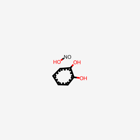 O=NO.Oc1ccccc1O